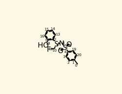 Cc1ccc(S(=O)(=O)N=S(CF)c2ccccc2O)cc1